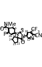 CNC(=O)c1ccc(N2C(=S)N(c3cnc(C#N)c(C(F)(F)F)c3)C(=O)C23CCCC3)cc1F